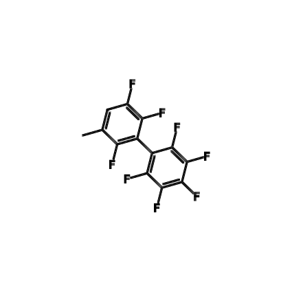 Cc1cc(F)c(F)c(-c2c(F)c(F)c(F)c(F)c2F)c1F